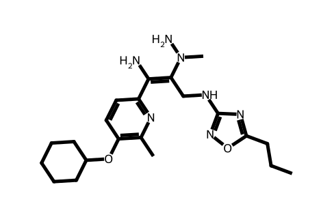 CCCc1nc(NC/C(=C(/N)c2ccc(OC3CCCCC3)c(C)n2)N(C)N)no1